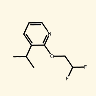 CC(C)c1cccnc1OCC(F)F